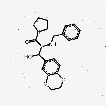 O=C(C(NCc1ccccc1)C(O)c1ccc2c(c1)OCCO2)N1CCCC1